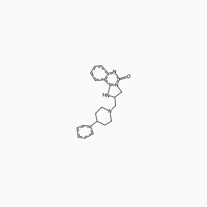 O=c1nc2ccccc2c2n1CC(CN1CCC(c3ccccc3)CC1)N2